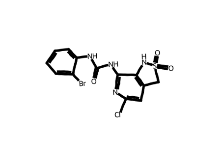 O=C(Nc1ccccc1Br)Nc1nc(Cl)cc2c1NS(=O)(=O)C2